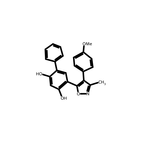 COc1ccc(-c2c(C)noc2-c2cc(-c3ccccc3)c(O)cc2O)cc1